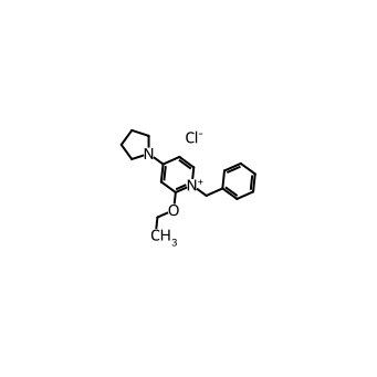 CCOc1cc(N2CCCC2)cc[n+]1Cc1ccccc1.[Cl-]